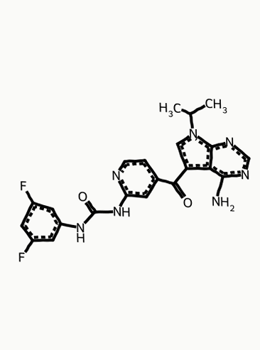 CC(C)n1cc(C(=O)c2ccnc(NC(=O)Nc3cc(F)cc(F)c3)c2)c2c(N)ncnc21